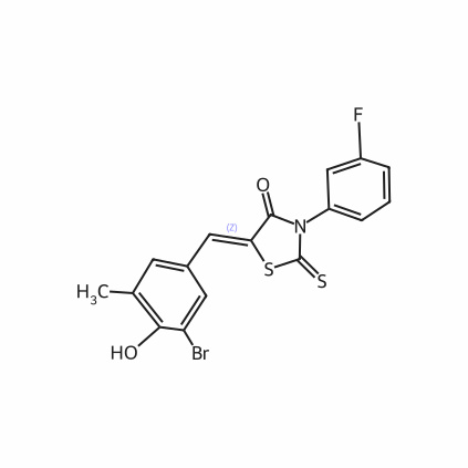 Cc1cc(/C=C2\SC(=S)N(c3cccc(F)c3)C2=O)cc(Br)c1O